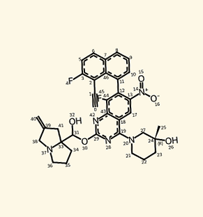 C#Cc1c(F)ccc2cccc(-c3c([N+](=O)[O-])cc4c(N5CCC[C@@](C)(O)C5)nc(OC(O)C56CCCN5CC(=C)C6)nc4c3F)c12